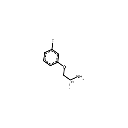 C[C@@H](N)COc1cccc(F)c1